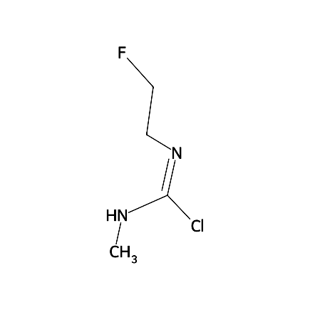 CN/C(Cl)=N\CCF